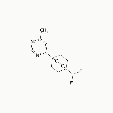 Cc1cc(C23CCC(C(F)F)(CC2)CC3)ncn1